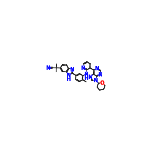 Cc1ccc(-c2nc3ccc(C(C)(C)C#N)cc3[nH]2)cc1Nc1ncccc1-c1ncnc2c1ncn2C1CCCCO1